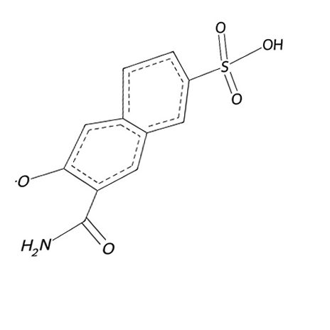 NC(=O)c1cc2cc(S(=O)(=O)O)ccc2cc1[O]